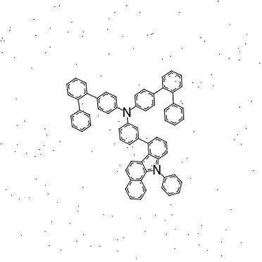 c1ccc(-c2ccccc2-c2ccc(N(c3ccc(-c4ccccc4-c4ccccc4)cc3)c3cccc(-c4cccc5c4c4ccc6ccccc6c4n5-c4ccccc4)c3)cc2)cc1